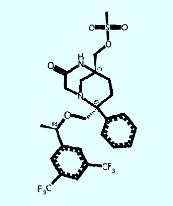 C[C@@H](OC[C@@]1(c2ccccc2)CC[C@]2(COS(C)(=O)=O)CN1CC(=O)N2)c1cc(C(F)(F)F)cc(C(F)(F)F)c1